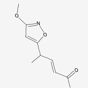 COc1cc(C(C)C=CC(=O)O)on1